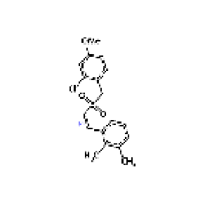 COc1ccc(CS(=O)(=O)/C=C\c2cccc(C)c2C)c(Cl)c1